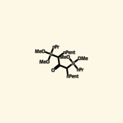 CCCCCC(C(=O)C(CCCCC)[Si](CCC)(OC)OC)[Si](CCC)(OC)OC